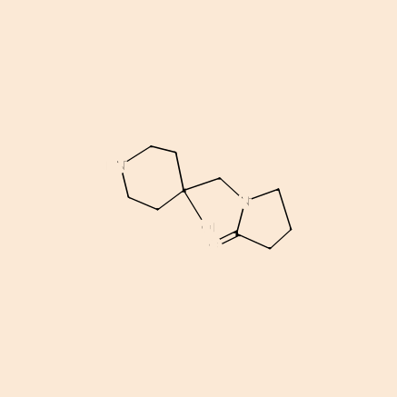 O=C1CCCN1CC1(O)CCNCC1